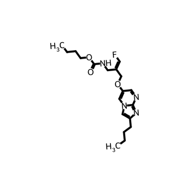 CCCCOC(=O)NC/C(=C\F)COc1cnc2nc(CCCC)cn2c1